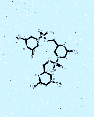 [2H]C1CN(P(C)(=O)OCC2CN(P(C)(=O)OCC3CN(C)CC(B)O3)CC(B)O2)CC(B)O1